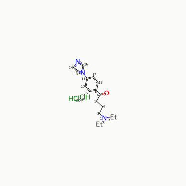 CCN(CC)CCCC(=O)c1ccc(-n2ccnc2)cc1.Cl.Cl